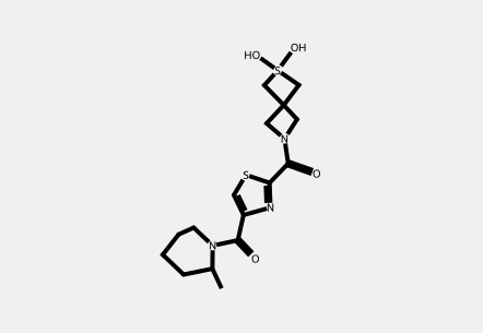 CC1CCCCN1C(=O)c1csc(C(=O)N2CC3(C2)CS(O)(O)C3)n1